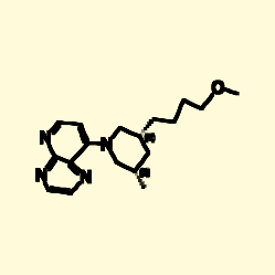 COCCCC[C@@H]1C[C@H](C)CN(c2ccnc3nccnc23)C1